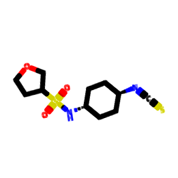 O=S(=O)(N[C@H]1CC[C@H](N=C=S)CC1)C1CCOC1